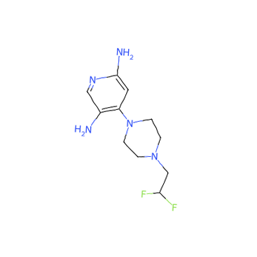 Nc1cc(N2CCN(CC(F)F)CC2)c(N)cn1